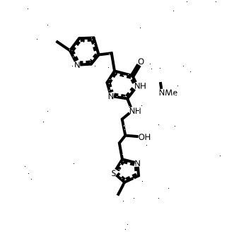 CNC.Cc1ccc(Cc2cnc(NCC(O)Cc3ncc(C)s3)[nH]c2=O)cn1